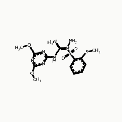 COc1nc(NC(N)=[N+](N)S(=O)(=O)c2ccccc2SC)nc(OC)n1